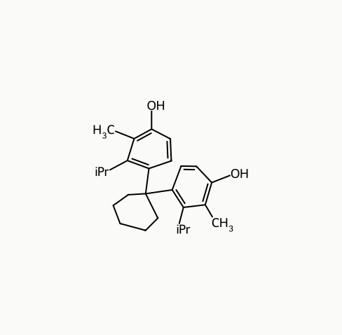 Cc1c(O)ccc(C2(c3ccc(O)c(C)c3C(C)C)CCCCC2)c1C(C)C